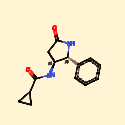 O=C1C[C@H](NC(=O)C2CC2)[C@@H](c2ccccc2)N1